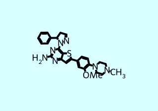 COc1cc(-c2cc3nc(N)nc(N4N=CCC4c4ccccc4)c3s2)ccc1N1CCN(C)CC1